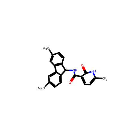 COc1ccc2c(c1)-c1cc(OC)ccc1C2NC(=O)c1ccc(C(F)(F)F)[nH]c1=O